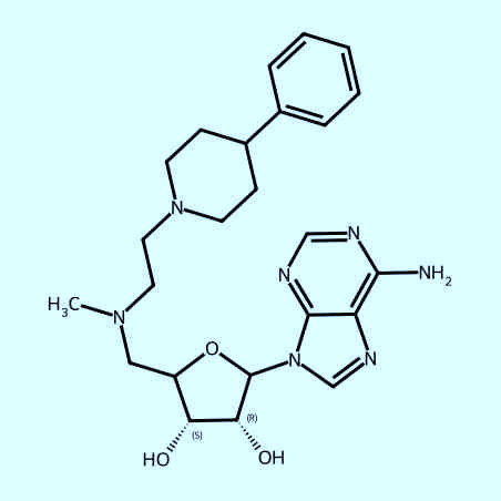 CN(CCN1CCC(c2ccccc2)CC1)CC1OC(n2cnc3c(N)ncnc32)[C@H](O)[C@@H]1O